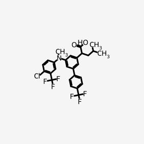 CC(C)CC(C(=O)O)c1cc(-c2ccc(C(F)(F)F)cc2)cc(N(C)c2ccc(Cl)c(C(F)(F)F)c2)c1